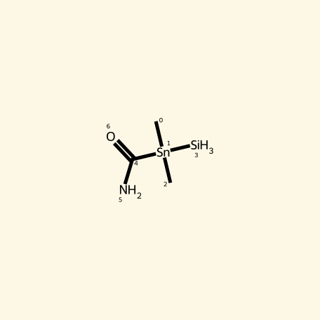 [CH3][Sn]([CH3])([SiH3])[C](N)=O